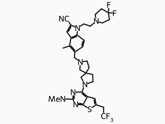 CNc1nc(N2CCC3(CCN(Cc4ccc5c(cc(C#N)n5CCN5CCC(F)(F)CC5)c4C)C3)C2)c2cc(CC(F)(F)F)sc2n1